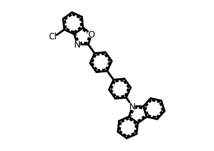 Clc1cccc2oc(-c3ccc(-c4ccc(-n5c6ccccc6c6ccccc65)cc4)cc3)nc12